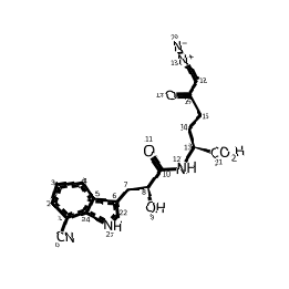 N#Cc1cccc2c(C[C@H](O)C(=O)N[C@@H](CCC(=O)C=[N+]=[N-])C(=O)O)c[nH]c12